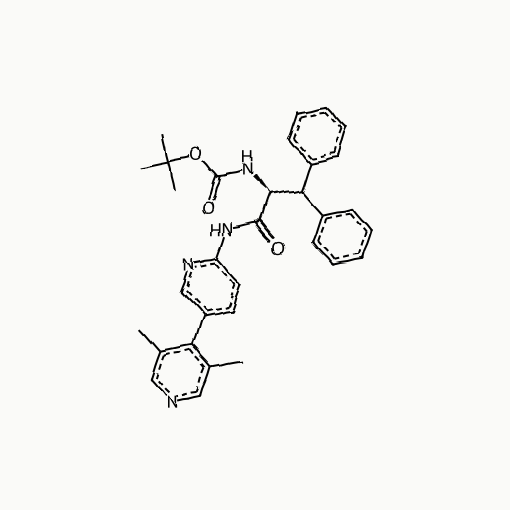 Cc1cncc(C)c1-c1ccc(NC(=O)[C@@H](NC(=O)OC(C)(C)C)C(c2ccccc2)c2ccccc2)nc1